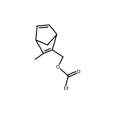 CCC(=O)OCC1=C(C)C2C=CC1C2